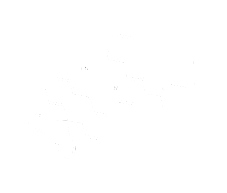 C=C/C=C\C=C(/C)c1cc(-c2cccc3c2Oc2c(C#N)cccc2C32c3ccccc3-c3ccccc32)nc(-c2ccccc2)n1